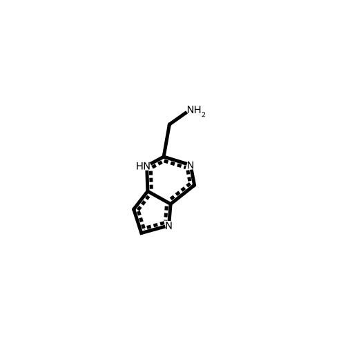 NCc1ncc2nccc-2[nH]1